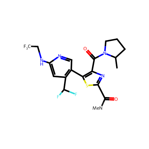 CNC(=O)c1nc(C(=O)N2CCCC2C)c(-c2cnc(NCC(F)(F)F)cc2C(F)F)s1